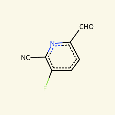 N#Cc1nc(C=O)ccc1F